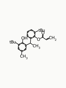 C=CC(=O)Oc1c(C(C)c2cc(C)cc(C(C)(C)C)c2O)cccc1C(C)(C)C